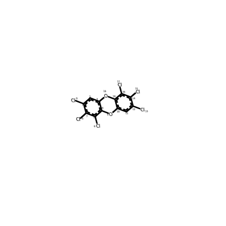 Clc1cc2c(c(Cl)c1Cl)Oc1cc(Cl)c(Cl)c(Cl)c1O2